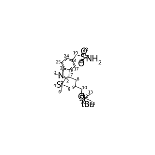 Cn1c([Si](C)(C)C)c(CCCO[Si](C)(C)C(C)(C)C)c2cc(CS(N)(=O)=O)ccc21